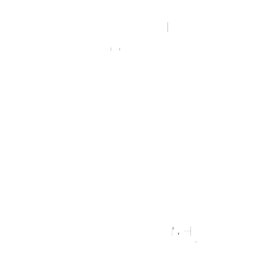 COc1c(F)cc(Cc2ccc(N)cc2)cc1-c1cccc(Cl)c1